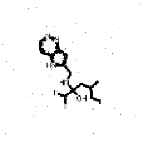 CC(CF)CC(O)(NCc1cc2nnccc2[nH]1)C(F)F